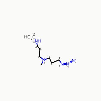 CN(CCCN=[N+]=[N-])CCCNC(=O)O